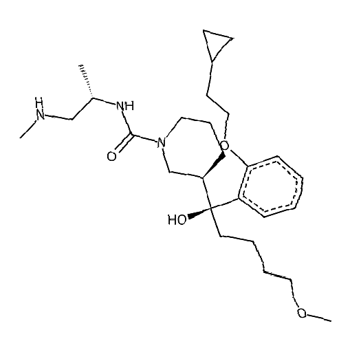 CNC[C@H](C)NC(=O)N1CCC[C@@H]([C@@](O)(CCCCOC)c2ccccc2OCCC2CC2)C1